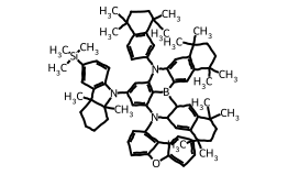 CC1(C)CCC(C)(C)C2=CC3C(C=C21)B1c2cc4c(cc2N(c2ccc5c(c2)C(C)(C)CCC5(C)C)c2cc(N5c6ccc([Si](C)(C)C)cc6C6(C)CCCCC56C)cc(c21)N3c1cccc2oc3ccccc3c12)C(C)(C)CCC4(C)C